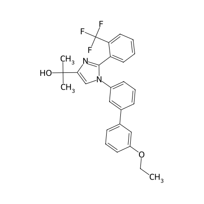 CCOc1cccc(-c2cccc(-n3cc(C(C)(C)O)nc3-c3ccccc3C(F)(F)F)c2)c1